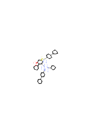 c1ccc(-c2ccc(-c3nc(-c4ccccc4)nc(-c4c5nc(-c6ccc(-c7ccccc7)cc6)sc5cc5oc6ccccc6c45)n3)cc2)cc1